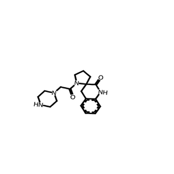 O=C(CN1CCNCC1)N1CCCC12Cc1ccccc1NC2=O